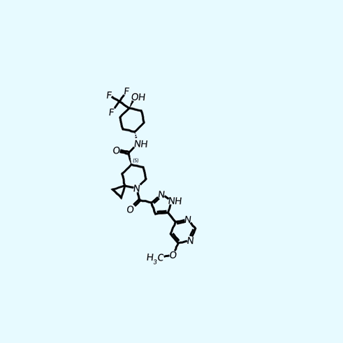 COc1cc(-c2cc(C(=O)N3CC[C@H](C(=O)N[C@H]4CC[C@@](O)(C(F)(F)F)CC4)CC34CC4)n[nH]2)ncn1